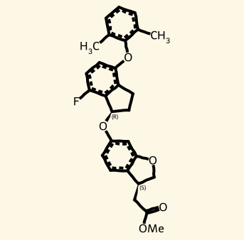 COC(=O)C[C@@H]1COc2cc(O[C@@H]3CCc4c(Oc5c(C)cccc5C)ccc(F)c43)ccc21